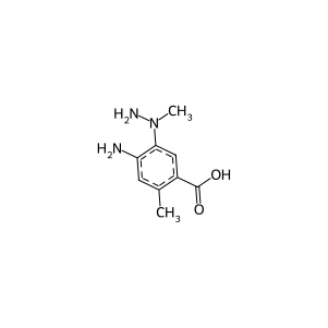 Cc1cc(N)c(N(C)N)cc1C(=O)O